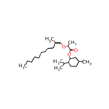 CCCCCCCCCC(C)=COC(C)C(=O)OC1CC(C)CCC1C(C)C